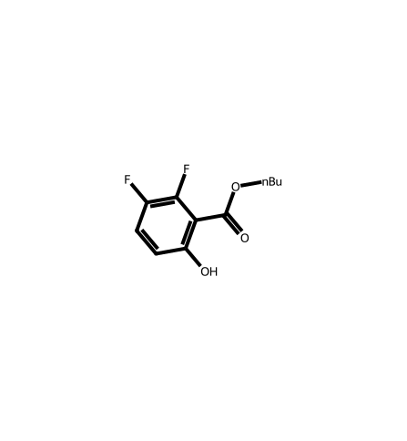 CCCCOC(=O)c1c(O)ccc(F)c1F